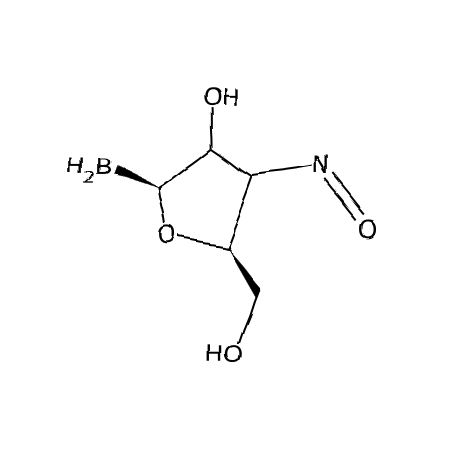 B[C@@H]1O[C@H](CO)C(N=O)C1O